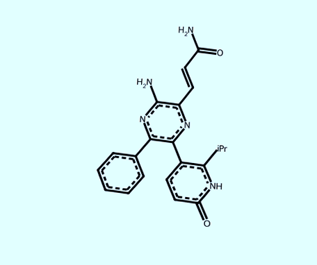 CC(C)c1[nH]c(=O)ccc1-c1nc(/C=C/C(N)=O)c(N)nc1-c1ccccc1